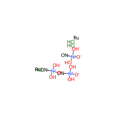 Cl.Cl.Cl.O=N[N+]([O-])(O)O.O=N[N+]([O-])(O)O.O=N[N+]([O-])(O)O.[Ru].[Ru]